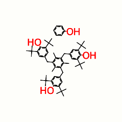 Cc1c(Cc2cc(C(C)(C)C)c(O)c(C(C)(C)C)c2)c(C)c(Cc2cc(C(C)(C)C)c(O)c(C(C)(C)C)c2)c(C)c1Cc1cc(C(C)(C)C)c(O)c(C(C)(C)C)c1.Oc1ccccc1